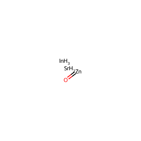 [InH3].[O]=[Zn].[SrH2]